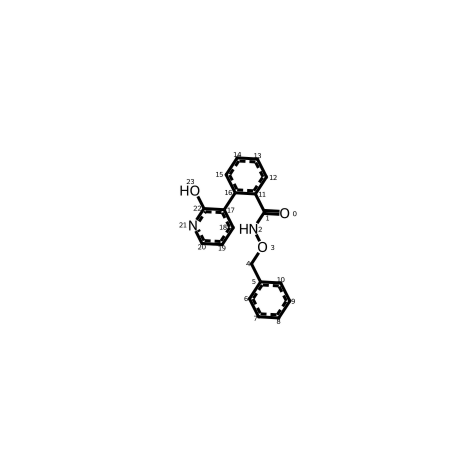 O=C(NOCc1ccccc1)c1ccccc1-c1cccnc1O